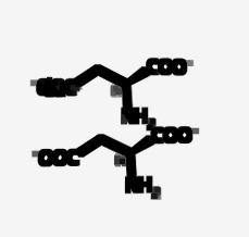 N[C@@H](CC(=O)[O-])C(=O)[O-].N[C@@H](CC(=O)[O-])C(=O)[O-].[Cu+4]